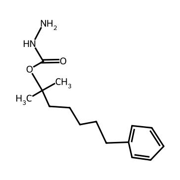 CC(C)(CCCCCc1ccccc1)OC(=O)NN